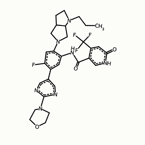 CCCN1CCC2CN(c3cc(F)c(-c4cnc(N5CCOCC5)nc4)cc3NC(=O)c3c[nH]c(=O)cc3C(F)(F)F)CC21